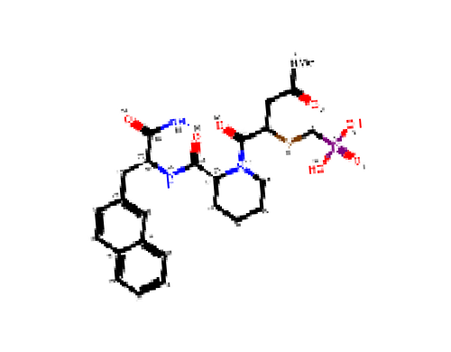 CNC(=O)CC(SCP(=O)(O)O)C(=O)N1CCCC[C@H]1C(=O)N[C@@H](Cc1ccc2ccccc2c1)C(N)=O